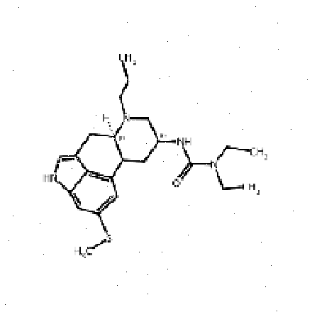 CCCN1C[C@@H](NC(=O)N(CC)CC)CC2c3cc(SC)cc4[nH]cc(c34)C[C@H]21